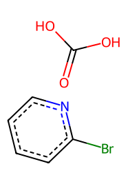 Brc1ccccn1.O=C(O)O